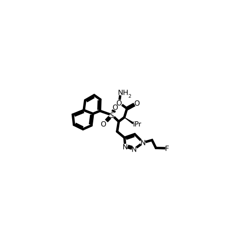 CC(C)[C@H](C(=O)ON)C(Cc1cn(CCF)nn1)S(=O)(=O)c1cccc2ccccc12